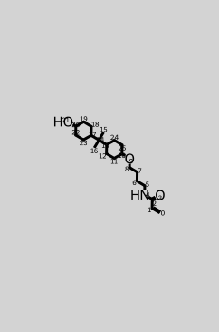 C=CC(=O)NCCCCOC1CCC(C(C)(C)C2CCC(O)CC2)CC1